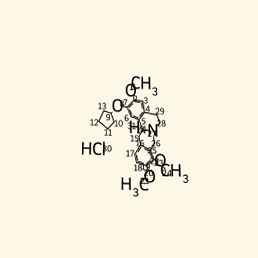 COc1cc2c(cc1OC1CCCC1)[C@@H]1Cc3ccc(OC)c(OC)c3CN1CC2.Cl